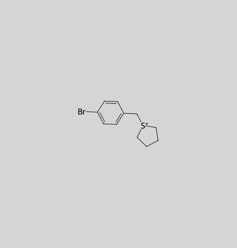 Brc1ccc(C[S+]2CCCC2)cc1